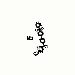 Cl.O=C(c1ccc(-c2ccc(S(=O)(=O)c3ccncc3)cc2)cc1)c1cnc(-n2ccnc2)nc1